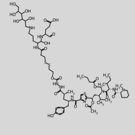 CCCC(=O)OCN(C(=O)[C@@H](NC(=O)[C@H]1CCCCN1C)C(C)CC)[C@H](C[C@@H](OC(C)=O)c1nc(C(=O)N[C@@H](Cc2ccc(O)cc2)C[C@H](C)C(=O)NNC(=O)OCCSSCCC(=O)NC(CCCNCC(O)C(O)C(O)C(O)CO)C(O)NC(C=O)CCC(=O)O)cs1)C(C)C